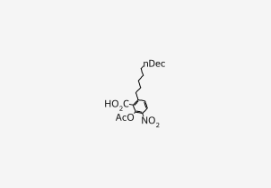 CCCCCCCCCCCCCCCc1ccc([N+](=O)[O-])c(OC(C)=O)c1C(=O)O